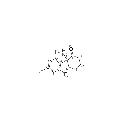 NC1(c2c(F)cc(F)cc2F)CCCCC1=O